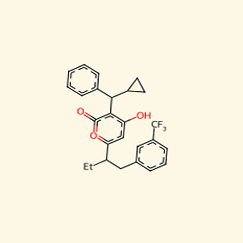 CCC(Cc1cccc(C(F)(F)F)c1)c1cc(O)c(C(c2ccccc2)C2CC2)c(=O)o1